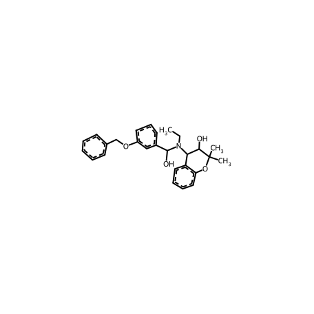 CCN(C(O)c1cccc(OCc2ccccc2)c1)C1c2ccccc2OC(C)(C)C1O